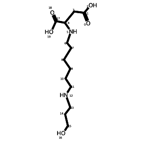 O=C(O)CC(NCCCCCCNCCCO)C(=O)O